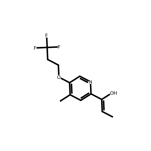 CC=C(O)c1cc(C)c(OCCC(F)(F)F)cn1